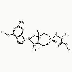 CCOc1nc(N)nc2c1ncn2[C@@H]1O[C@@H]2CO[P@@](=O)(N[C@H](C)C(=O)OC(C)C)OC[C@H]2[C@H]1O